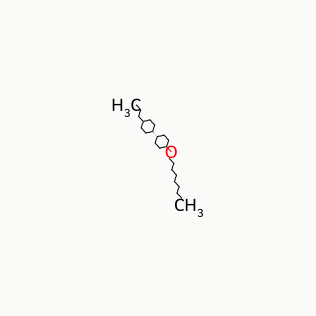 CCCCCCCCCO[C@H]1CC[C@H](C2CCC(CCC)CC2)CC1